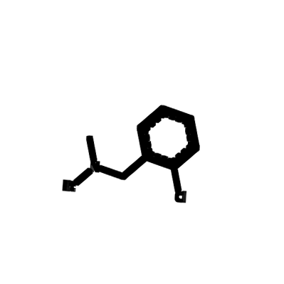 CCN(C)Cc1ccccc1Cl